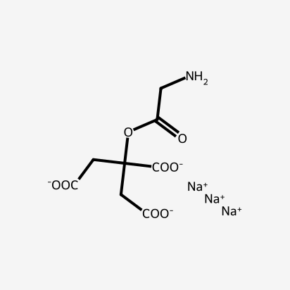 NCC(=O)OC(CC(=O)[O-])(CC(=O)[O-])C(=O)[O-].[Na+].[Na+].[Na+]